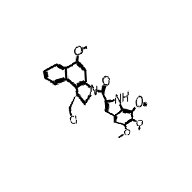 COc1cc2cc(C(=O)N3C[C@@H](CCl)c4c3cc(OC)c3ccccc43)[nH]c2c(OC)c1OC